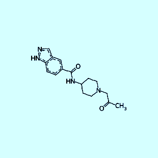 CC(=O)CN1CCC(NC(=O)c2ccc3[nH]ncc3c2)CC1